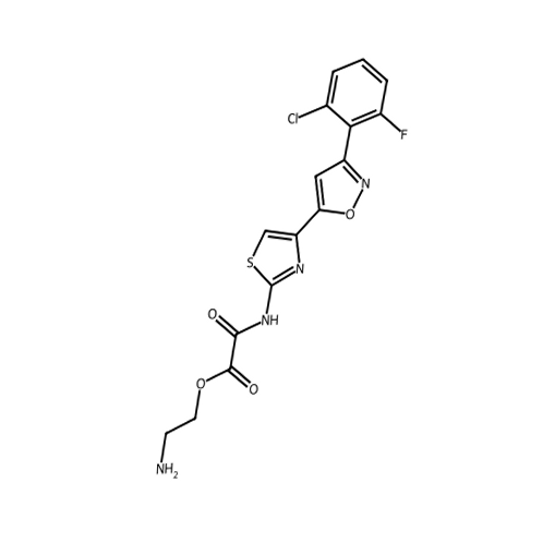 NCCOC(=O)C(=O)Nc1nc(-c2cc(-c3c(F)cccc3Cl)no2)cs1